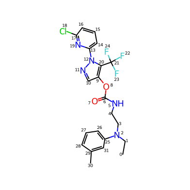 CCN(CCNC(=O)Oc1cnn(-c2cccc(Cl)n2)c1C(F)(F)F)c1cccc(C)c1